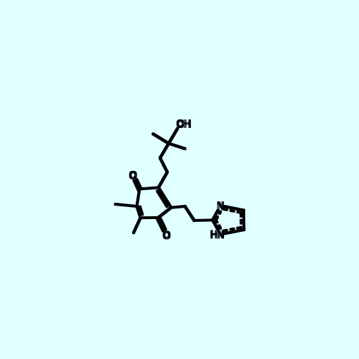 CC1=C(C)C(=O)C(CCC(C)(C)O)=C(CCc2ncc[nH]2)C1=O